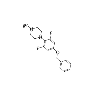 CC(C)N1CCN(c2c(F)cc(OCc3ccccc3)cc2F)CC1